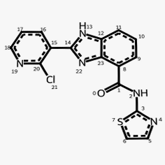 O=C(Nc1nccs1)c1cccc2[nH]c(-c3cccnc3Cl)nc12